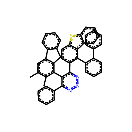 Cc1cc2c(c(-c3c(-c4ccccc4)nnnc3-c3ccc4sc5ccccc5c4c3-c3ccccc3-c3ccccc3)c1C)Cc1ccccc1-2